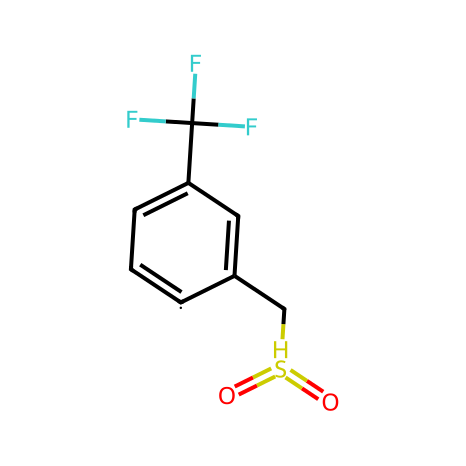 O=[SH](=O)Cc1[c]ccc(C(F)(F)F)c1